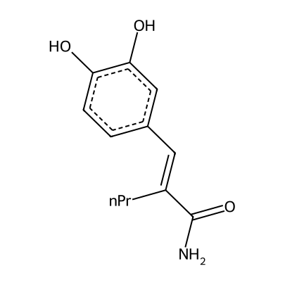 CCC/C(=C\c1ccc(O)c(O)c1)C(N)=O